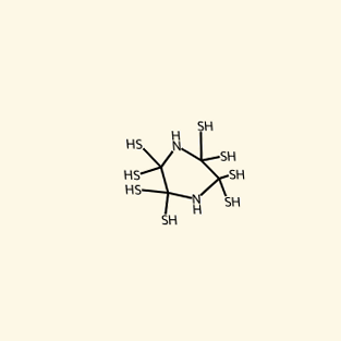 SC1(S)NC(S)(S)C(S)(S)NC1(S)S